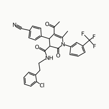 CC(=O)C1=C(C)N(c2cccc(C(F)(F)F)c2)C(=O)C(C(=O)NCCc2ccccc2Cl)C1c1ccc(C#N)cc1